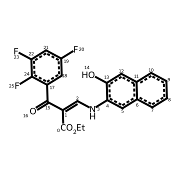 CCOC(=O)/C(=C\Nc1cc2ccccc2cc1O)C(=O)c1cc(F)cc(F)c1F